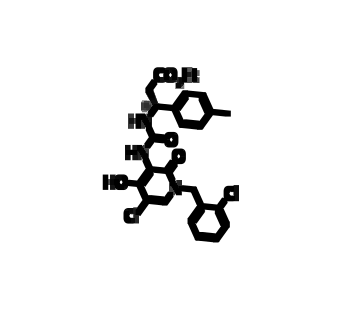 CCOC(=O)C[C@H](NC(=O)Nc1c(O)c(Cl)cn(Cc2ccccc2Cl)c1=O)c1ccc(C)cc1